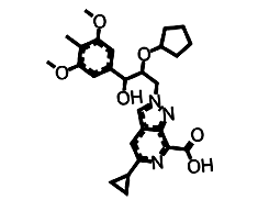 COc1cc(C(O)C(Cn2cc3cc(C4CC4)nc(C(=O)O)c3n2)OC2CCCC2)cc(OC)c1C